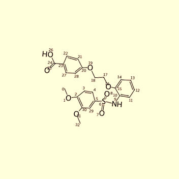 COc1ccc(S(=O)(=O)Nc2ccccc2OCCOc2ccc(C(=O)O)cc2)cc1OC